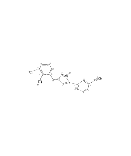 C#Cc1ccnc(-c2cn(Cc3cccc(Cl)c3Cl)cn2)c1